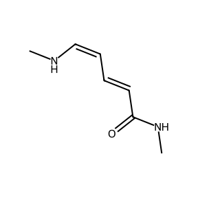 CN/C=C\C=C\C(=O)NC